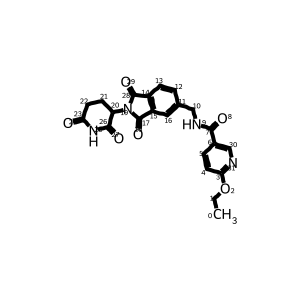 CCOc1ccc(C(=O)NCc2ccc3c(c2)C(=O)N(C2CCC(=O)NC2=O)C3=O)cn1